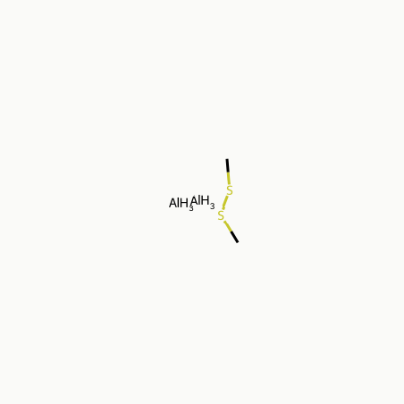 CSSC.[AlH3].[AlH3]